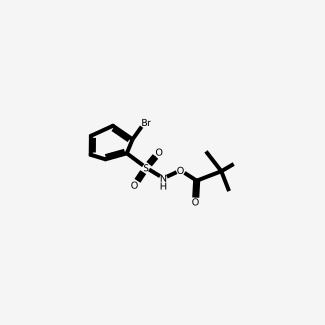 CC(C)(C)C(=O)ONS(=O)(=O)c1ccccc1Br